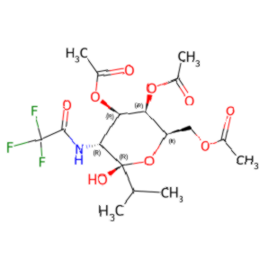 CC(=O)OC[C@H]1O[C@](O)(C(C)C)[C@H](NC(=O)C(F)(F)F)[C@@H](OC(C)=O)[C@H]1OC(C)=O